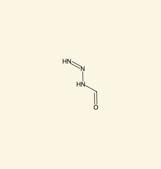 N=NNC=O